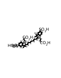 CC1(C)C(/C=C/C=C/C=C/C=C2/N(CCC(=O)O)c3ccc(S(=O)(=O)O)cc3C2(C)C)=[N+](CCC(=O)O)c2ccc(SOOO)cc21